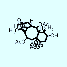 C=C1[C@@H](O)C[C@H](OC(C)=O)[C@]2(C)[C@@H](OC(C)=O)[C@H](OC(C)=O)C3=C(C)C(=O)C[C@@H]([C@@H](OC(C)=O)[C@H]12)C3(C)C